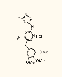 COc1cc(Cc2cnc(N(C)c3cc(C)no3)nc2N)cc(OC)c1OC.Cl